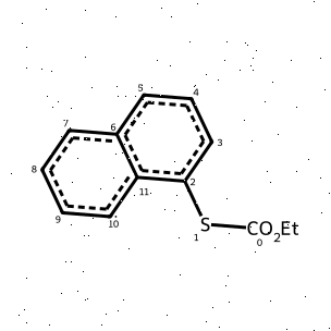 CCOC(=O)Sc1cccc2ccc[c]c12